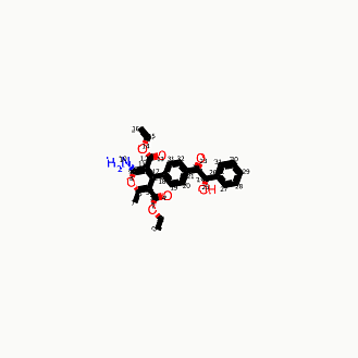 CCOC(=O)C1=C(C)OC(N)=C(C(=O)OCC)C1c1ccc(C(=O)C(O)c2ccccc2)cc1